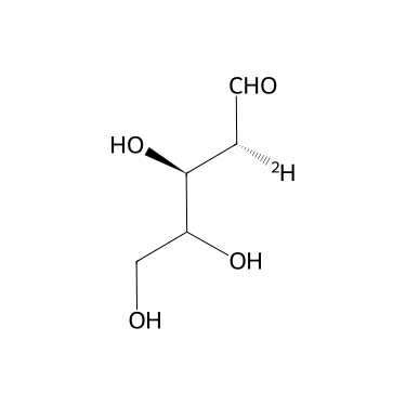 [2H][C@@H](C=O)[C@H](O)C(O)CO